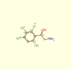 NC[C@H](O)c1c(Cl)cc(Cl)c(Cl)c1Cl